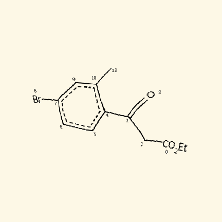 CCOC(=O)CC(=O)c1ccc(Br)cc1C